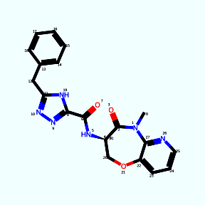 CN1C(=O)[C@H](NC(=O)c2nnc(Cc3ccccc3)[nH]2)COc2cccnc21